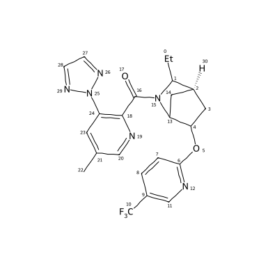 CCC1[C@H]2CC(Oc3ccc(C(F)(F)F)cn3)C(C2)N1C(=O)c1ncc(C)cc1-n1nccn1